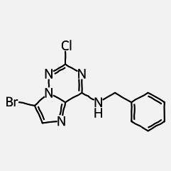 Clc1nc(NCc2ccccc2)c2ncc(Br)n2n1